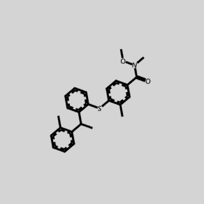 CON(C)C(=O)c1ccc(Sc2ccccc2C(C)c2ccccc2C)c(C)c1